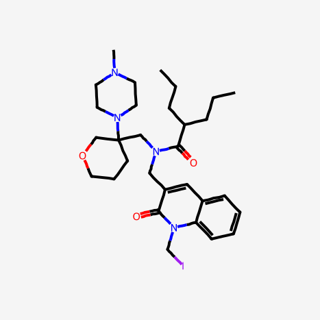 CCCC(CCC)C(=O)N(Cc1cc2ccccc2n(CI)c1=O)CC1(N2CCN(C)CC2)CCCOC1